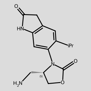 CC(C)c1cc2c(cc1N1C(=O)OC[C@@H]1CN)NC(=O)C2